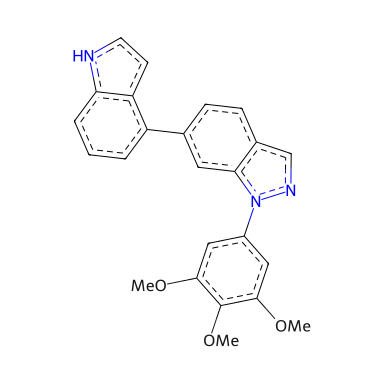 COc1cc(-n2ncc3ccc(-c4cccc5[nH]ccc45)cc32)cc(OC)c1OC